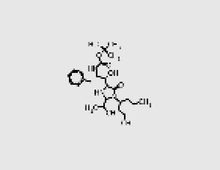 CCCC(CCC)N1C(=O)[C@H]([C@@H](O)[C@H](Cc2ccccc2)NC(=O)OC(C)(C)C)NC1C(C)C